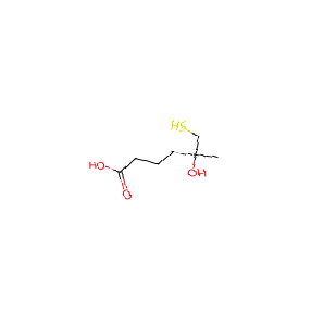 CC(O)(CS)CCCC(=O)O